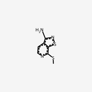 CSc1nccc2c(N)nsc12